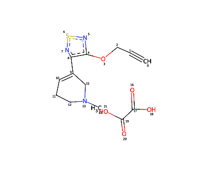 C#CCOc1nsnc1C1=CCCN(C)C1.O=C(O)C(=O)O